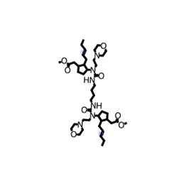 CC/C=C/CC1C(CC(=O)OC)CCC1N(CCN1CCOCC1)C(=O)NCCCCNC(=O)N(CCN1CCOCC1)C1CCC(CC(=O)OC)C1C/C=C/CC